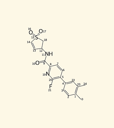 Cc1ccc(-c2ccc(C(=O)NC3C=CS(=O)(=O)C3)nc2F)cc1C